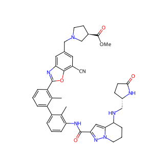 COC(=O)[C@@H]1CCN(Cc2cc(C#N)c3oc(-c4cccc(-c5cccc(NC(=O)c6cc7n(n6)CCCC7NC[C@@H]6CCC(=O)N6)c5C)c4C)nc3c2)C1